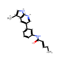 CCC=CC(=O)Nc1cccc(-c2cnc3[nH]cc(C)c3c2)c1